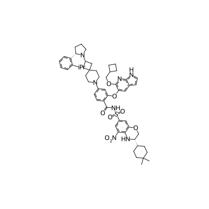 CC(C)c1ccccc1[C@@H]1CCCN1C1CC2(CCN(c3ccc(C(=O)NS(=O)(=O)c4cc5c(c([N+](=O)[O-])c4)N[C@@H](C4CCC(C)(C)CC4)CO5)c(Oc4cc5cc[nH]c5nc4OCC4CCC4)c3)CC2)C1